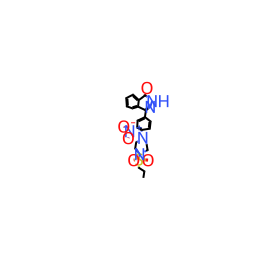 CCCS(=O)(=O)N1CCN(c2ccc(-c3n[nH]c(=O)c4ccccc34)cc2[N+](=O)[O-])CC1